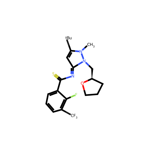 Cn1c(C(C)(C)C)cc(=NC(=S)c2cccc(C(F)(F)F)c2F)n1C[C@H]1CCCO1